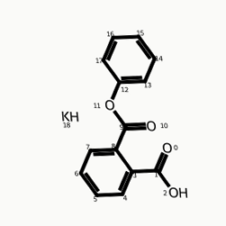 O=C(O)c1ccccc1C(=O)Oc1ccccc1.[KH]